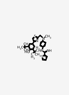 CN(Cc1nc(-c2cc(C(C)(C)C)c(O)c(C(C)(C)C)c2)cs1)c1ccc(NC(=N)c2cccs2)cc1